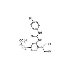 CC(C)CN(CC(C)C)c1ccc([C@H]2C[C@H]2C(=O)O)cc1NC(=O)Nc1ccc(Br)cc1